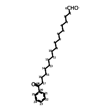 O=[C]CCCCCCCCCCCCCCCCCC(=O)c1ccccc1